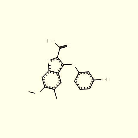 COc1cc2sc(C(=O)O)c(Sc3cccc(O)c3)c2cc1C